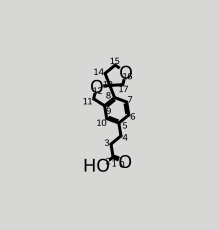 O=C(O)CCc1ccc2c(c1)COC21CCOC1